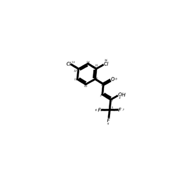 O=C(/C=C(\O)C(F)(F)F)c1ccc(Cl)cc1Cl